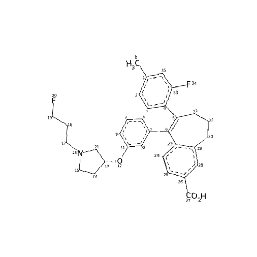 Cc1ccc(C2=C(c3cccc(O[C@@H]4CCN(CCCF)C4)c3)c3ccc(C(=O)O)cc3CCC2)c(F)c1